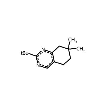 CC1(C)C[C]c2cnc(C(C)(C)C)nc2C1